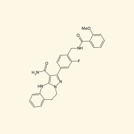 COc1ccccc1C(=O)NCc1ccc(-c2nn3c(c2C(N)=O)Nc2ccccc2CC3)cc1F